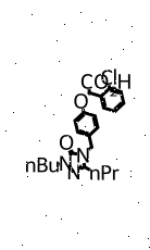 CCCCn1nc(CCC)n(Cc2ccc(OC(C(=O)O)c3ccccc3Cl)cc2)c1=O